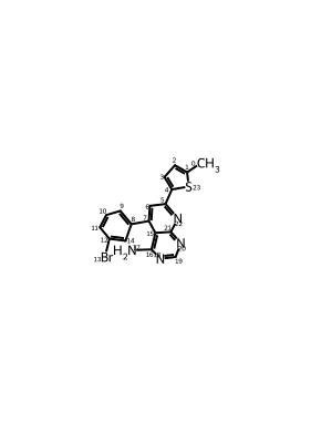 Cc1ccc(-c2cc(-c3cccc(Br)c3)c3c(N)ncnc3n2)s1